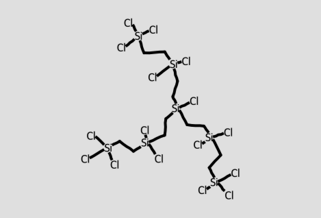 Cl[Si](Cl)(Cl)CC[Si](Cl)(Cl)CC[Si](Cl)(CC[Si](Cl)(Cl)CC[Si](Cl)(Cl)Cl)CC[Si](Cl)(Cl)CC[Si](Cl)(Cl)Cl